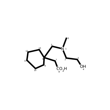 CN(CCO)CC1(CC(=O)O)CCCCC1